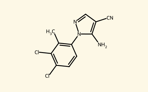 Cc1c(-n2ncc(C#N)c2N)ccc(Cl)c1Cl